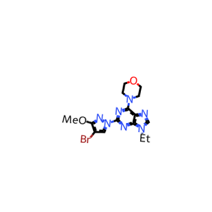 CCn1cnc2c(N3CCOCC3)nc(-n3cc(Br)c(OC)n3)nc21